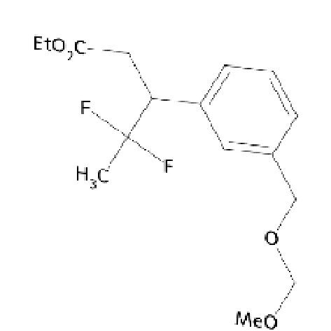 CCOC(=O)CC(c1cccc(COCOC)c1)C(C)(F)F